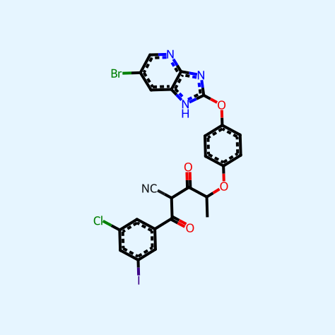 CC(Oc1ccc(Oc2nc3ncc(Br)cc3[nH]2)cc1)C(=O)C(C#N)C(=O)c1cc(Cl)cc(I)c1